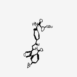 CC(C)(C)OC(=O)Nc1ccc(C2=NN(C(=O)c3ccc(Br)cc3)C(c3ccoc3)C2)cc1